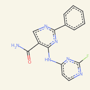 NC(=O)c1cnc(-c2ccccc2)nc1Nc1ccnc(F)n1